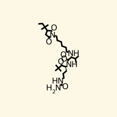 CCC(C)(C)C1CC(=O)N(CCCCCC(=O)N[C@H](C(=O)N[C@@H](CCCNC(N)=O)C(=O)C(C)(C)C)C(C)C)C1=O